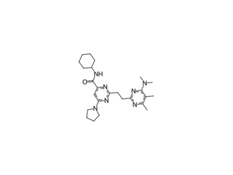 Cc1nc(CCc2nc(C(=O)NC3CCCCC3)cc(N3CCCC3)n2)nc(N(C)C)c1C